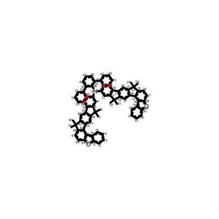 CC1(C)c2cc(N(c3ccc4c(c3)C(C)(C)c3cc5c(cc3-4)C(C)(C)c3ccc4oc6ccccc6c4c3-5)c3c(-c4ccccc4)cccc3-c3ccccc3)ccc2-c2cc3c(cc21)-c1c(ccc2oc4ccccc4c12)C3(C)C